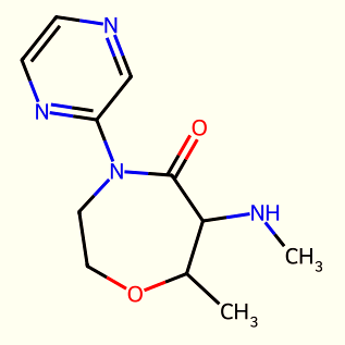 CNC1C(=O)N(c2cnccn2)CCOC1C